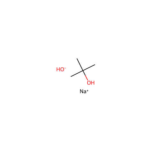 CC(C)(C)O.[Na+].[OH-]